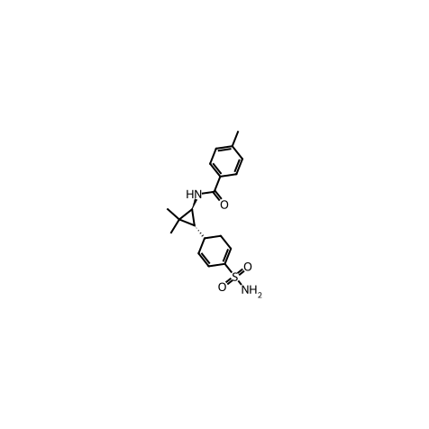 Cc1ccc(C(=O)N[C@H]2[C@H](C3C=CC(S(N)(=O)=O)=CC3)C2(C)C)cc1